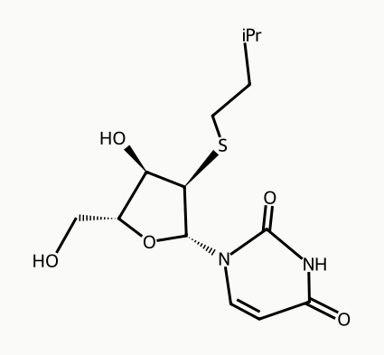 CC(C)CCS[C@@H]1[C@H](O)[C@@H](CO)O[C@H]1n1ccc(=O)[nH]c1=O